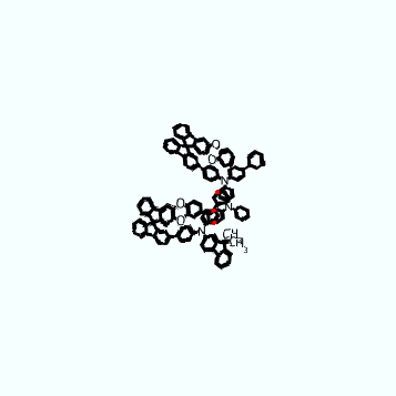 CC1(C)c2ccccc2-c2ccc(N(c3ccc(-c4ccccc4)cc3)c3ccc(-c4ccc5c(c4)C4(c6ccccc6-5)c5ccccc5-c5cc6c(cc54)Oc4cc(-c5cccc(N(c7ccccc7)c7ccc(N(c8ccc(-c9ccccc9)cc8)c8ccc(-c9ccc%10c(c9)C9(c%11ccccc%11-%10)c%10ccccc%10-c%10cc%11c(cc%109)Oc9ccccc9O%11)cc8)cc7)c5)ccc4O6)cc3)cc21